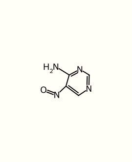 Nc1ncncc1N=O